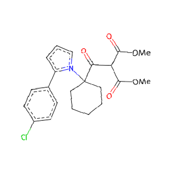 COC(=O)C(C(=O)OC)C(=O)C1(n2cccc2-c2ccc(Cl)cc2)CCCCC1